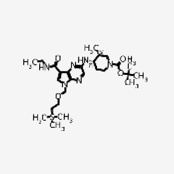 CCNC(=O)c1cn(COCCS(C)(C)C)c2ncc(N[C@H]3CCN(C(=O)OC(C)(C)C)C[C@@H]3C)nc12